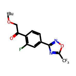 CC(C)(C)OCC(=O)c1ccc(-c2noc(C(F)(F)F)n2)cc1F